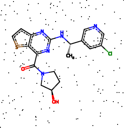 C[C@H](Nc1nc(C(=O)N2CC[C@@H](O)C2)c2sccc2n1)c1cncc(Cl)c1